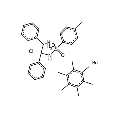 Cc1c(C)c(C)c(C)c(C)c1C.Cc1ccc(S(=O)(=O)N[C@@](Cl)(c2ccccc2)[C@@H](N)c2ccccc2)cc1.[Ru]